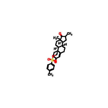 Cc1ccc(S(=O)(=O)OC[C@]23CCC(=O)C=C2CC[C@@H]2[C@@H]3CC[C@]3(C)C(=O)C(C)C[C@@H]23)cc1